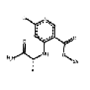 C[C@@H](Nc1cc(Cl)ncc1C(=O)OC(C)(C)C)C(N)=O